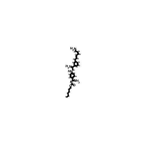 CCCCCCOC(=O)/N=C(\N)c1ccc(NCC(N)c2cccc(CC=C/C=C\CN)c2)cc1